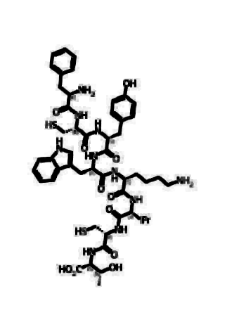 CC(C)[C@H](NC(=O)[C@H](CCCCN)NC(=O)[C@@H](Cc1c[nH]c2ccccc12)NC(=O)[C@H](Cc1ccc(O)cc1)NC(=O)[C@H](CS)NC(=O)[C@H](N)Cc1ccccc1)C(=O)N[C@@H](CS)C(=O)N[C@H](C(=O)O)[C@@H](C)O